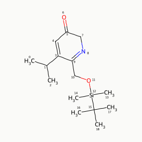 CC(C)C1=CC(=O)CN=C1CO[Si](C)(C)C(C)(C)C